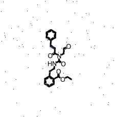 CCOC(=O)c1ccccc1CCNC(=O)N(C[C]=O)C(=O)/C=C/c1ccccc1